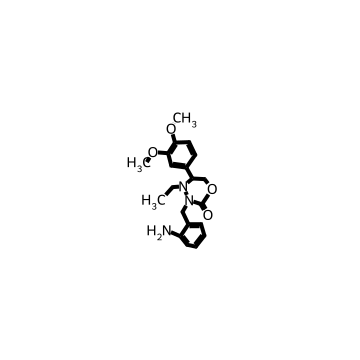 CCN1C(c2ccc(OC)c(OC)c2)COC(=O)N1Cc1ccccc1N